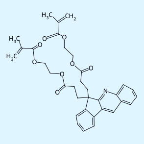 C=C(C)C(=O)OCCOC(=O)CCC1(CCC(=O)OCCOC(=O)C(=C)C)c2ccccc2-c2cc3ccccc3nc21